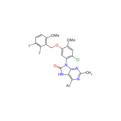 COc1cc(Cl)c(-n2c(=O)[nH]c3c(C(C)=O)nc(C)nc32)cc1OCc1c(OC)ccc(F)c1F